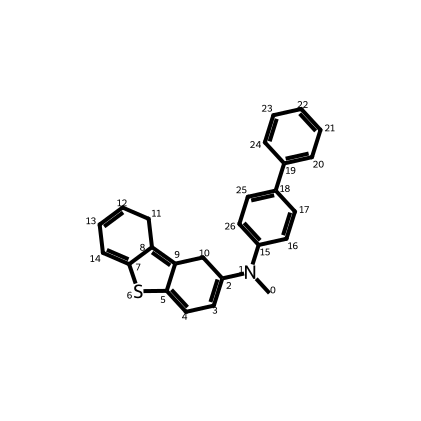 CN(C1=CC=c2sc3c(c2C1)CC=CC=3)c1ccc(-c2ccccc2)cc1